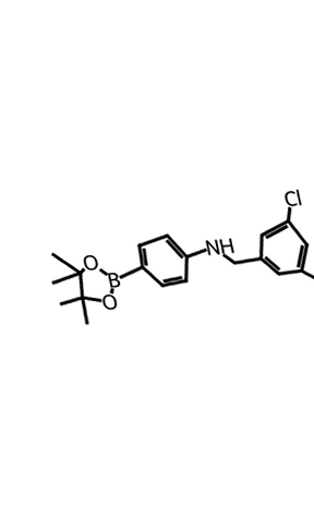 CC1(C)OB(c2ccc(NCc3cc(F)cc(Cl)c3)cc2)OC1(C)C